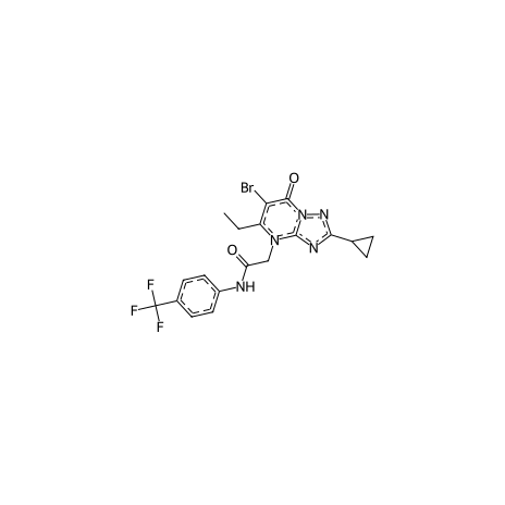 CCc1c(Br)c(=O)n2nc(C3CC3)nc2n1CC(=O)Nc1ccc(C(F)(F)F)cc1